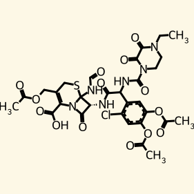 CCN1CCN(C(=O)NC(C(=O)N[C@@H]2C(=O)N3C(C(=O)O)=C(COC(C)=O)CSC23NC=O)c2cc(OC(C)=O)c(OC(C)=O)cc2Cl)C(=O)C1=O